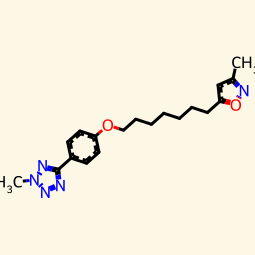 Cc1cc(CCCCCCCOc2ccc(-c3nnn(C)n3)cc2)on1